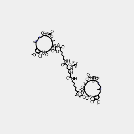 COc1cc2cc(c1Cl)N(C)C(=O)C[C@H](OC(=O)[C@H](C)N(C)C(=O)CCCCCNC(=O)CCC(CCC(=O)NCCCCCC(=O)N(C)[C@@H](C)C(=O)O[C@H]1CC(=O)N(C)c3cc(cc(OC)c3Cl)C/C(C)=C/C=C/[C@@H](OC)[C@@]3(O)CC(OC(=O)N3)[C@@H](C)C3O[C@]31C)NC(=O)C(F)(F)F)[C@]1(C)OC1[C@H](C)C1C[C@@](O)(NC(=O)O1)[C@H](OC)/C=C/C=C(\C)C2